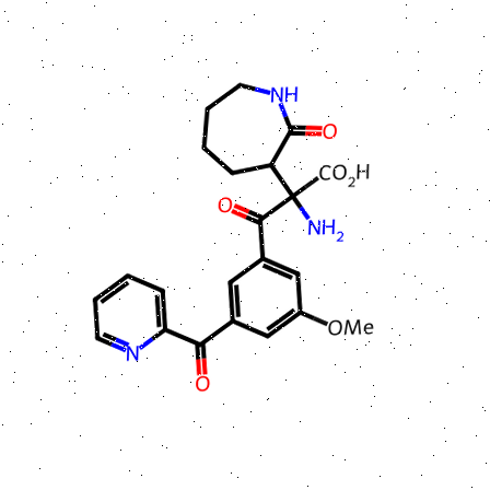 COc1cc(C(=O)c2ccccn2)cc(C(=O)C(N)(C(=O)O)C2CCCCNC2=O)c1